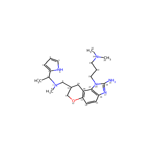 CC(c1ccc[nH]1)N(C)CC1COc2ccc3nc(N)n(CCCN(C)C)c3c2C1